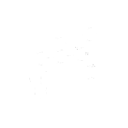 CC1(C)c2c(cccc2-c2ccc(-c3cc(-c4ccccn4)nc(-c4ccccc4)n3)c3ccccc23)-c2ccc3ccccc3c21